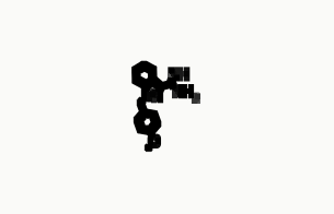 COc1ccc(Cn2nc(C(=N)N)c3ccccc32)cc1